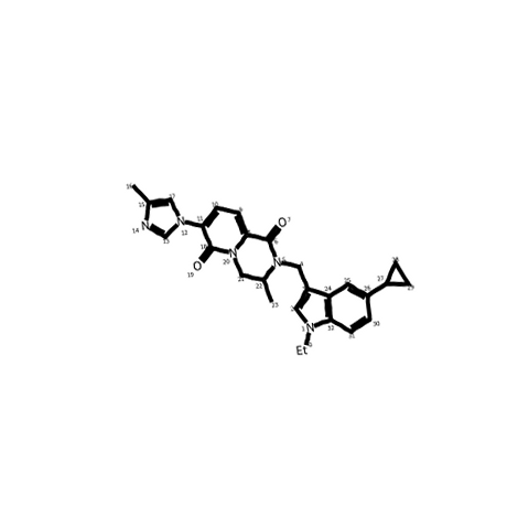 CCn1cc(CN2C(=O)c3ccc(-n4cnc(C)c4)c(=O)n3CC2C)c2cc(C3CC3)ccc21